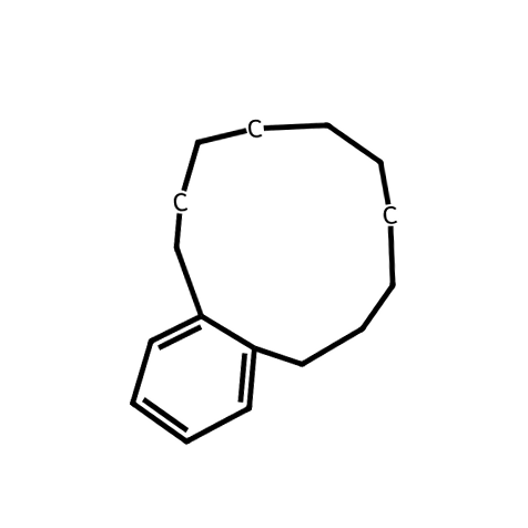 c1ccc2c(c1)CCCCCCCCCC2